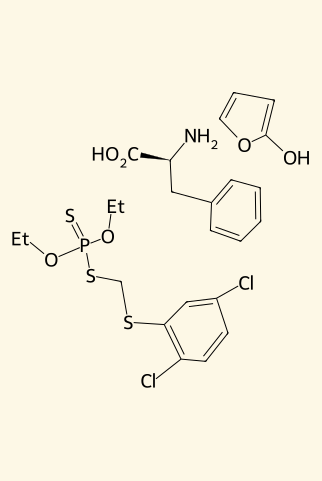 CCOP(=S)(OCC)SCSc1cc(Cl)ccc1Cl.N[C@@H](Cc1ccccc1)C(=O)O.Oc1ccco1